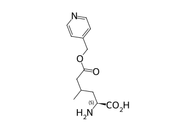 CC(CC(=O)OCc1ccncc1)C[C@H](N)C(=O)O